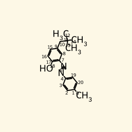 Cc1ccc(/N=N/c2cc(CC(C)(C)C)ccc2O)cc1